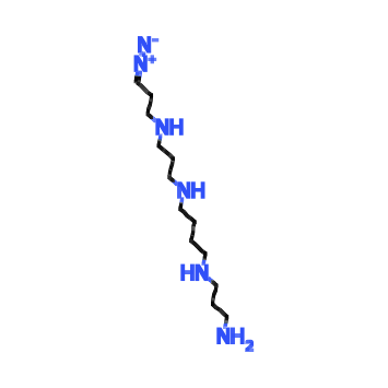 [N-]=[N+]=CCCNCCCNCCCCNCCCN